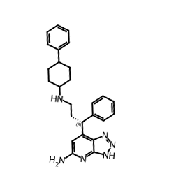 Nc1cc([C@H](CCNC2CCC(c3ccccc3)CC2)c2ccccc2)c2nn[nH]c2n1